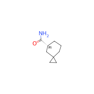 NC(=O)[C@@H]1CCCC2(CC2)C1